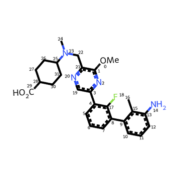 COc1nc(-c2cccc(-c3cccc(N)c3C)c2F)cnc1CN(C)C1CCC(C(=O)O)CC1